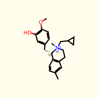 COc1ccc(C[C@H]2c3ccc(C)cc3CC[N@@+]2(C)CC2CC2)cc1O